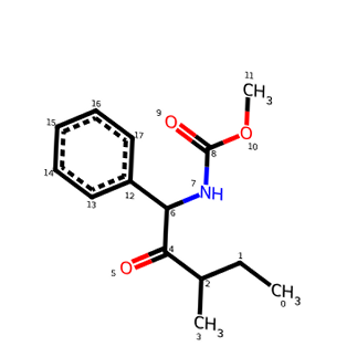 CCC(C)C(=O)C(NC(=O)OC)c1ccccc1